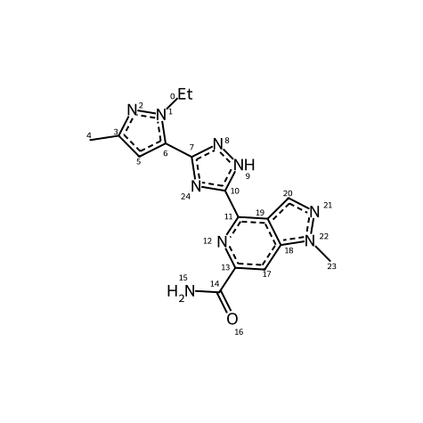 CCn1nc(C)cc1-c1n[nH]c(-c2nc(C(N)=O)cc3c2cnn3C)n1